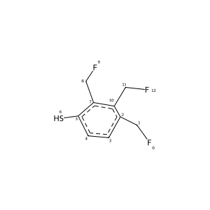 FCc1ccc(S)c(CF)c1CF